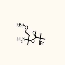 CC(C)C(C)(C)C(=O)OC(C)(N)CCOC(C)(C)C